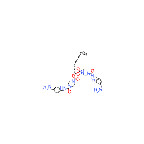 CCCCC#CC#CCCCC(OC(=O)N1CCN(C(=O)NCc2ccc(CN)cc2)CC1)OC(=O)N1CCN(C(=O)NCc2ccc(CN)cc2)CC1